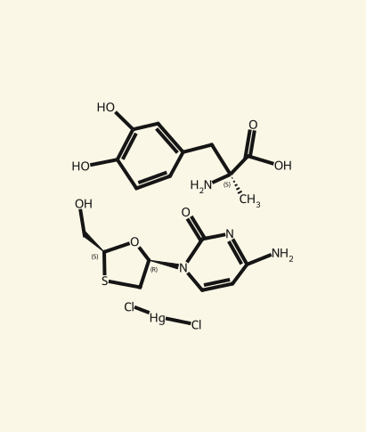 C[C@](N)(Cc1ccc(O)c(O)c1)C(=O)O.Nc1ccn([C@H]2CS[C@@H](CO)O2)c(=O)n1.[Cl][Hg][Cl]